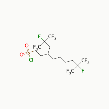 O=S(=O)(Cl)CCC(CCCCC(F)(C(F)(F)F)C(F)(F)F)CC(F)(C(F)(F)F)C(F)(F)F